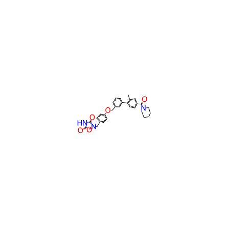 Cc1cc(C(=O)N2CCCCC2)ccc1-c1cccc(COc2ccc(Cn3oc(=O)[nH]c3=O)cc2)c1